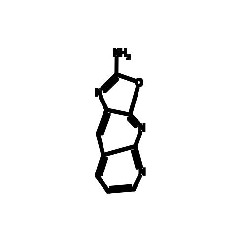 Nc1nc2cc3cccnc3nc2o1